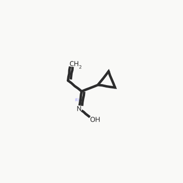 C=C/C(=N/O)C1CC1